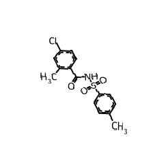 Cc1ccc(S(=O)(=O)NC(=O)c2ccc(Cl)cc2C)cc1